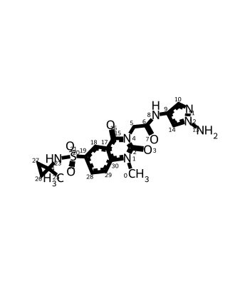 Cn1c(=O)n(CC(=O)Nc2cnn(N)c2)c(=O)c2cc(S(=O)(=O)NC3(C)CC3)ccc21